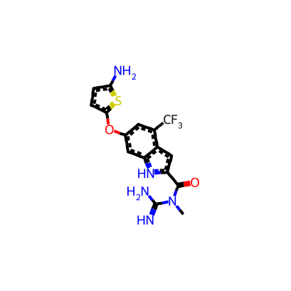 CN(C(=N)N)C(=O)c1cc2c(C(F)(F)F)cc(Oc3ccc(N)s3)cc2[nH]1